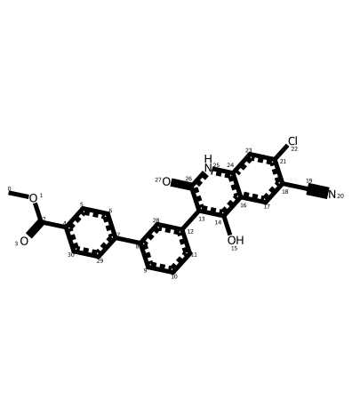 COC(=O)c1ccc(-c2cccc(-c3c(O)c4cc(C#N)c(Cl)cc4[nH]c3=O)c2)cc1